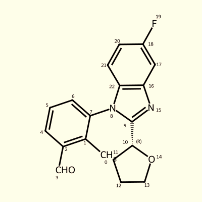 Cc1c(C=O)cccc1-n1c([C@H]2CCCO2)nc2cc(F)ccc21